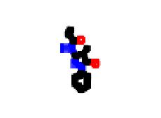 C=CC(=O)NC1=NN(c2ccccc2)C(=O)C1C